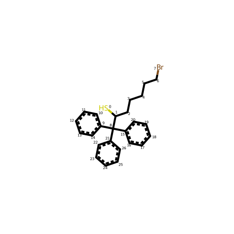 SC(CCCCCBr)C(c1ccccc1)(c1ccccc1)c1ccccc1